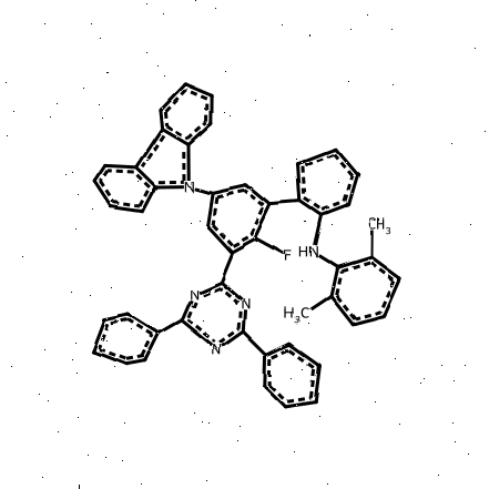 Cc1cccc(C)c1Nc1ccccc1-c1cc(-n2c3ccccc3c3ccccc32)cc(-c2nc(-c3ccccc3)nc(-c3ccccc3)n2)c1F